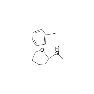 C[SiH](C)C1CCCCO1.Cc1cc[c]cc1